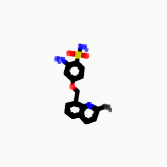 Cc1ccc2cccc(COc3ccc(S(N)(=O)=O)c(N)c3)c2n1